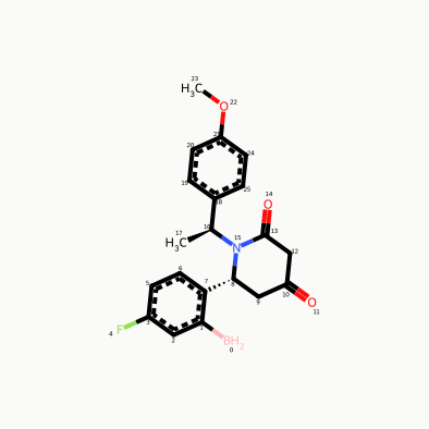 Bc1cc(F)ccc1[C@H]1CC(=O)CC(=O)N1[C@@H](C)c1ccc(OC)cc1